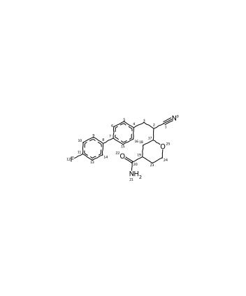 N#CC(Cc1ccc(-c2ccc(F)cc2)cc1)C1CC(C(N)=O)CCO1